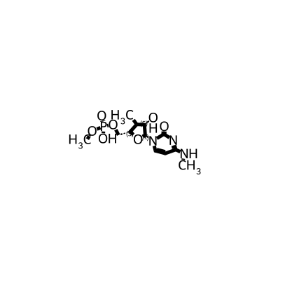 CNc1ccn([C@@H]2O[C@H](COP(=O)(O)OC)C(C)[C@@H]2O)c(=O)n1